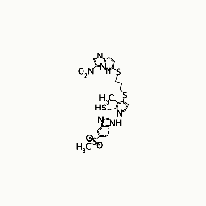 Cc1c(SCCCSc2ccc3ncc([N+](=O)[O-])n3n2)ccnc1C(S)c1nc2cc(S(C)(=O)=O)ccc2[nH]1